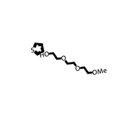 COCCOCCOCCO.c1ccsc1